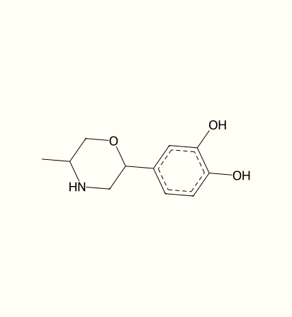 CC1COC(c2ccc(O)c(O)c2)CN1